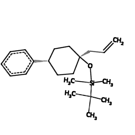 C=CC[C@]1(O[Si](C)(C)C(C)(C)C)CC[C@H](c2ccccc2)CC1